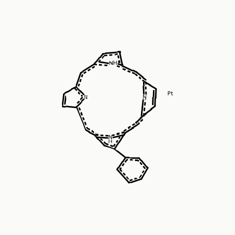 C1=Cc2cc3cc(-c4ccccc4)c(cc4nc(cc5ccc(cc1n2)[nH]5)C=C4)[nH]3.[Pt]